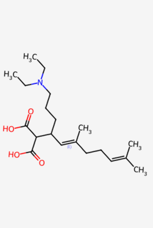 CCN(CC)CCCC(/C=C(\C)CCC=C(C)C)C(C(=O)O)C(=O)O